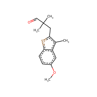 COc1ccc2sc(CC(C)(C)C=O)c(C)c2c1